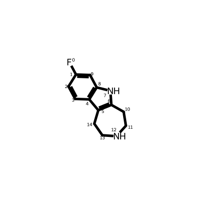 Fc1ccc2c3c([nH]c2c1)CCNCC3